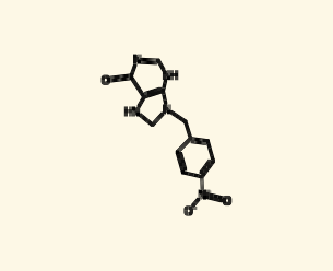 O=c1nc[nH]c2c1NCN2Cc1ccc([N+](=O)[O-])cc1